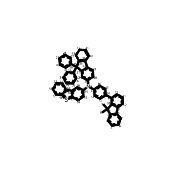 CC1(C)c2ccccc2-c2cccc(-c3ccc(N(c4ccc5c(c4)C(c4ccccc4)(c4ccccc4)C4=C5C=CCC4)c4ccc5sc6ccccc6c5c4)cc3)c21